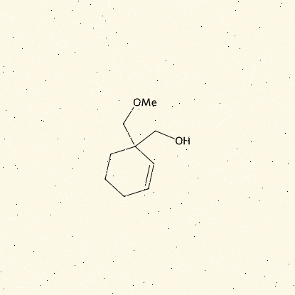 COCC1(CO)C=CCCC1